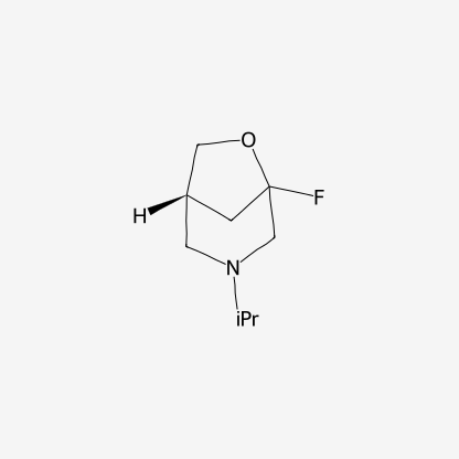 CC(C)N1C[C@@H]2COC(F)(C2)C1